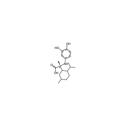 CC1CCC(C(C)C)C([C@@](C)(Nc2ccc(O)c(O)c2)C(=O)O)C1